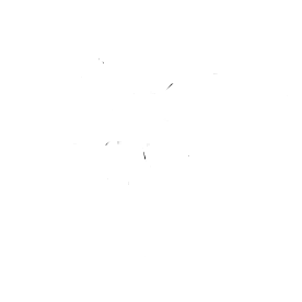 N=C(OC1O[C@@H](COC(=O)c2ccccc2)[C@H](OC(=O)c2ccccc2)[C@@H](OC(=O)c2ccccc2)[C@H]1OC(=O)c1ccccc1)C(Cl)(Cl)Cl